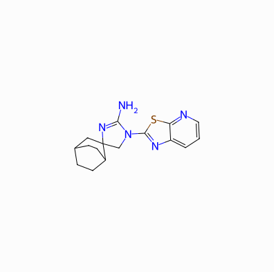 NC1=NC2(CC3CCC2CC3)CN1c1nc2cccnc2s1